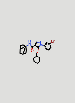 O=C(NC1C2CC3CC(C2)CC1C3)c1cnn(-c2cccc(Br)c2)c1OCC1CCCCC1